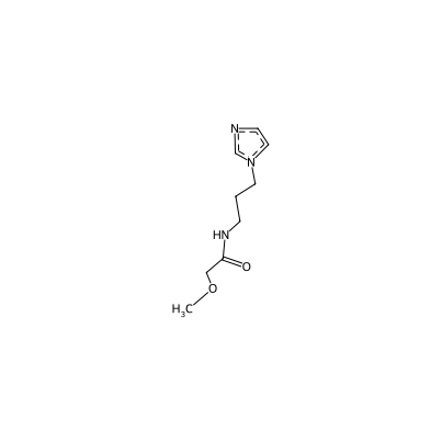 COCC(=O)NCCCn1ccnc1